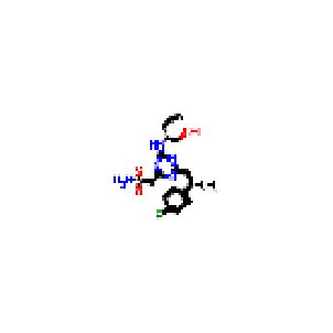 CC(C)C[C@H](CO)Nc1nc(C[C@H](C)c2ccc(F)cc2)nc(CS(N)(=O)=O)n1